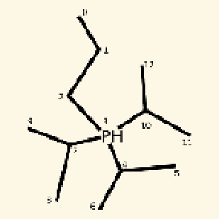 CCC[PH](C(C)C)(C(C)C)C(C)C